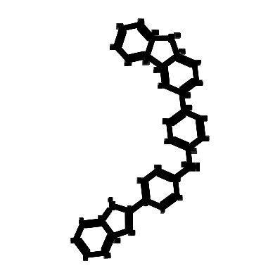 c1ccc2sc(-c3ccc(Nc4ccc(-c5ccc6sc7ccccc7c6c5)cc4)cc3)cc2c1